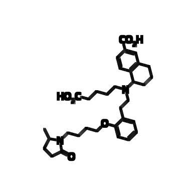 CC1CCC(=O)N1CCCCOc1ccccc1CCN(CCCCC(=O)O)C1CCCc2cc(C(=O)O)ccc21